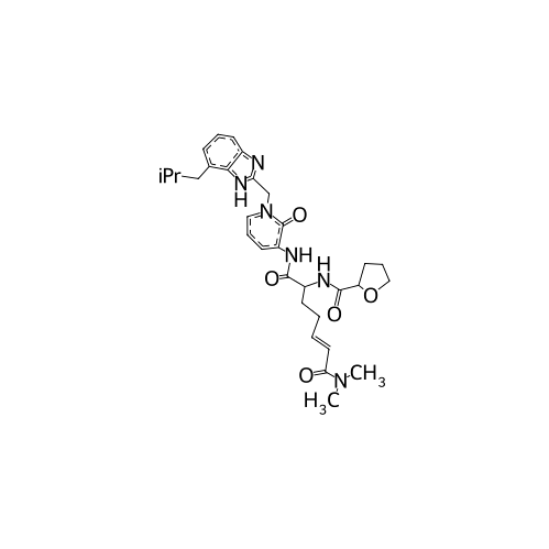 CC(C)Cc1cccc2nc(Cn3cccc(NC(=O)C(CC/C=C/C(=O)N(C)C)NC(=O)C4CCCO4)c3=O)[nH]c12